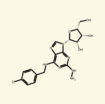 NNc1nc(NCc2ccc(Cl)cc2)c2ncn([C@@H]3O[C@H](CO)[C@H](O)[C@@H]3O)c2n1